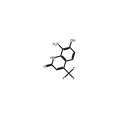 Nc1c(O)ccc2c(C(F)(F)F)cc(=O)[nH]c12